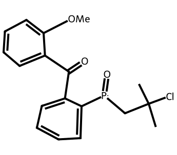 COc1ccccc1C(=O)c1ccccc1[P](=O)CC(C)(C)Cl